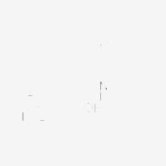 O=c1cc(-c2ccc(C(F)(F)F)cc2O)[nH]c2ccccc12